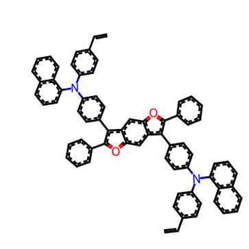 C=Cc1ccc(N(c2ccc(-c3c(-c4ccccc4)oc4cc5c(-c6ccc(N(c7ccc(C=C)cc7)c7cccc8ccccc78)cc6)c(-c6ccccc6)oc5cc34)cc2)c2cccc3ccccc23)cc1